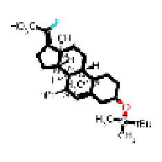 CCC[C@@H]1C=C2CC(O[Si](C)(C)C(C)(C)C)CC[C@]2(C)[C@H]2CC[C@]3(C)C(=C(F)C(=O)O)CC[C@H]3[C@H]12